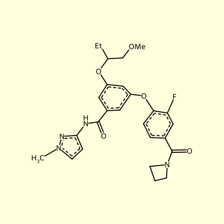 CCC(COC)Oc1cc(Oc2ccc(C(=O)N3CCC3)cc2F)cc(C(=O)Nc2ccn(C)n2)c1